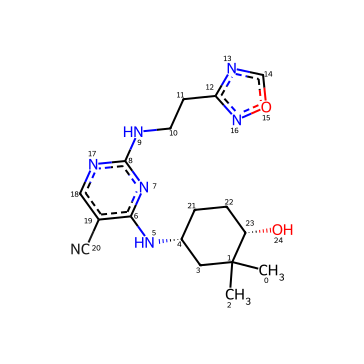 CC1(C)C[C@H](Nc2nc(NCCc3ncon3)ncc2C#N)CC[C@@H]1O